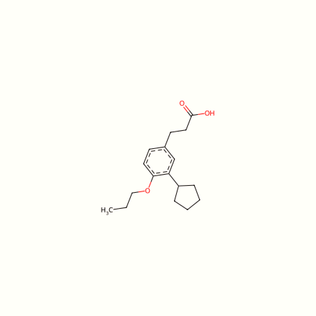 CCCOc1ccc(CCC(=O)O)cc1C1CCCC1